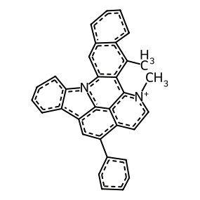 Cc1c2ccccc2cc2c1c1c3c(cc[n+]1C)c(-c1ccccc1)cc1c4ccccc4n2c13